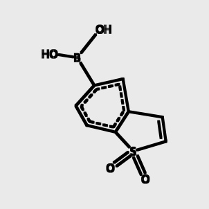 O=S1(=O)C=Cc2cc(B(O)O)ccc21